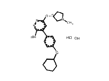 CCCCc1nnc(O[C@@H]2CCN(C)C2)cc1-c1ccc(OC2CCCCC2)cc1.Cl.Cl